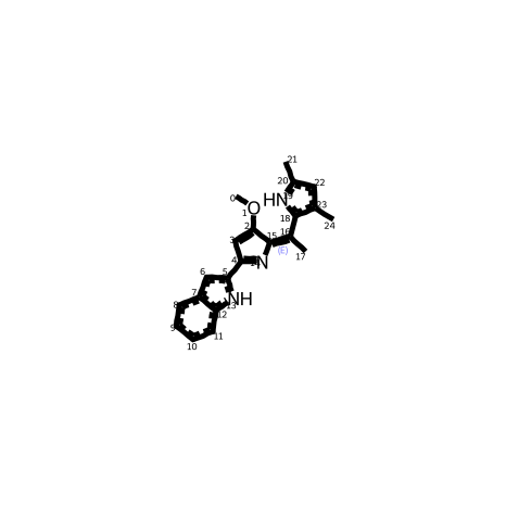 COC1=CC(c2cc3ccccc3[nH]2)=N/C1=C(\C)c1[nH]c(C)cc1C